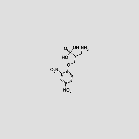 NCC(COc1ccc([N+](=O)[O-])cc1[N+](=O)[O-])P(=O)(O)O